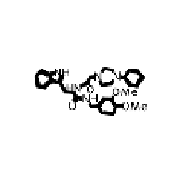 COc1ccc(CNC(=O)C(Cc2c[nH]c3ccccc23)NC(=O)CN2CCN(c3ccccc3)CC2)cc1OC